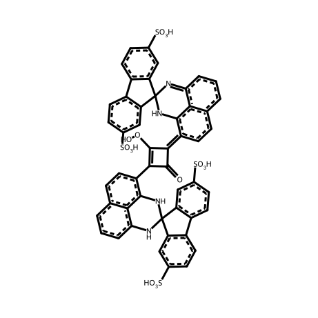 O=C1C(c2ccc3cccc4c3c2NC2(N4)c3cc(S(=O)(=O)O)ccc3-c3ccc(S(=O)(=O)O)cc32)=C(OO)/C1=c1/ccc2cccc3c2c1NC1(N=3)c2cc(S(=O)(=O)O)ccc2-c2ccc(S(=O)(=O)O)cc21